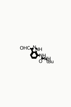 CC(C)(C)NC(=O)Nc1cccc2c(C=O)n[nH]c12